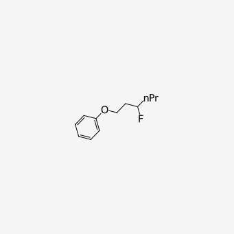 CCCC(F)CCOc1ccccc1